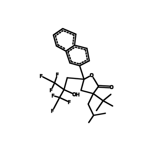 CC(C)CC1(C(C)(C)C)CC(CC(O)(C(F)(F)F)C(F)(F)F)(c2ccc3ccccc3c2)OC1=O